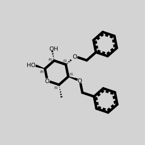 C[C@@H]1O[C@@H](O)[C@H](O)[C@H](OCc2ccccc2)[C@H]1OCc1ccccc1